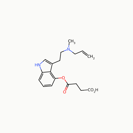 C=CCN(C)CCc1c[nH]c2cccc(OC(=O)CCC(=O)O)c12